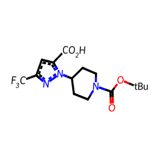 CC(C)(C)OC(=O)N1CCC(n2nc(C(F)(F)F)cc2C(=O)O)CC1